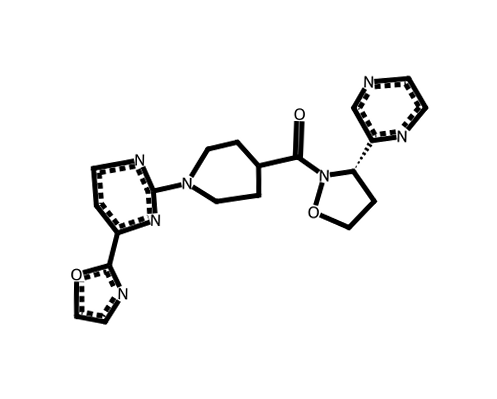 O=C(C1CCN(c2nccc(-c3ncco3)n2)CC1)N1OCC[C@H]1c1cnccn1